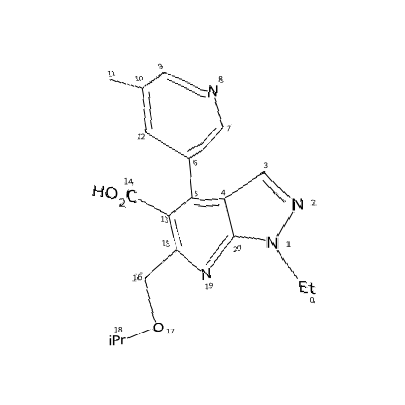 CCn1ncc2c(-c3cncc(C)c3)c(C(=O)O)c(COC(C)C)nc21